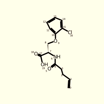 C=CCCC(=O)N[C@@H](COc1ccccc1Cl)C(=O)O